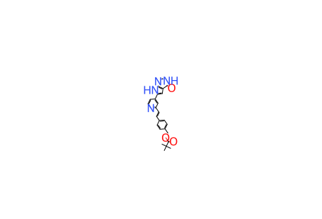 CC(C)(C)C(=O)OCc1ccc(/C=C/c2cc(-c3cc4c(=O)[nH]cnc4[nH]3)ccn2)cc1